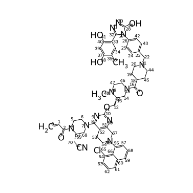 C=CC(=O)N1CCN(c2nc(OC[C@@H]3CN(C(=O)C4CCN(Cc5ccc(-n6c(O)nnc6-c6cc(C)c(O)cc6O)cc5)CC4)CCN3C)nc3c2CCN(c2cccc4cccc(Cl)c24)C3)C[C@@H]1CC#N